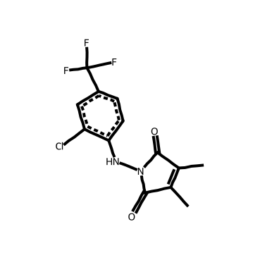 CC1=C(C)C(=O)N(Nc2ccc(C(F)(F)F)cc2Cl)C1=O